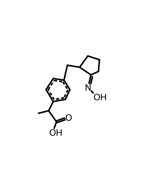 CC(C(=O)O)c1ccc(CC2CCCC2=NO)cc1